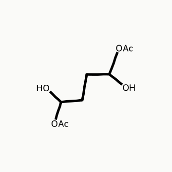 CC(=O)OC(O)CCC(O)OC(C)=O